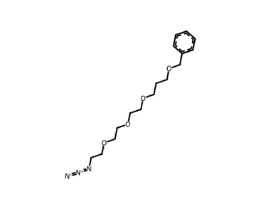 [N-]=[N+]=NCCOCCOCCOCCCOCc1ccccc1